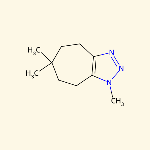 Cn1nnc2c1CCC(C)(C)CC2